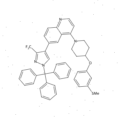 CSc1cccc(OC2CCN(c3ccnc4ccc(-c5cn(C(c6ccccc6)(c6ccccc6)c6ccccc6)nc5C(F)(F)F)cc34)CC2)c1